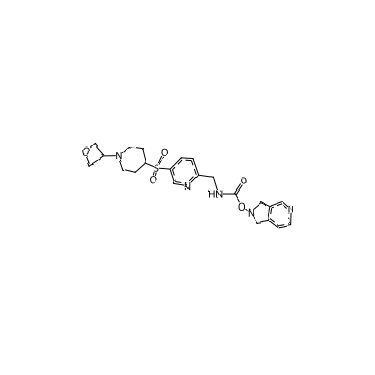 O=C(NCc1ccc(S(=O)(=O)C2CCN(C3COC3)CC2)cn1)ON1Cc2ccncc2C1